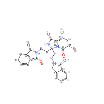 O=C1NC(CCN2Cc3ccccc3C2=O)(CCN2C(=O)C3=C(CCC=C3)C2=O)n2c1c(Cl)cc(Br)c2=O